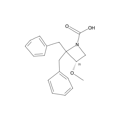 CO[C@H]1CN(C(=O)O)C1(Cc1ccccc1)Cc1ccccc1